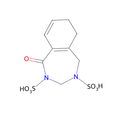 O=C1C2=C(CCC=C2)CN(S(=O)(=O)O)CN1S(=O)(=O)O